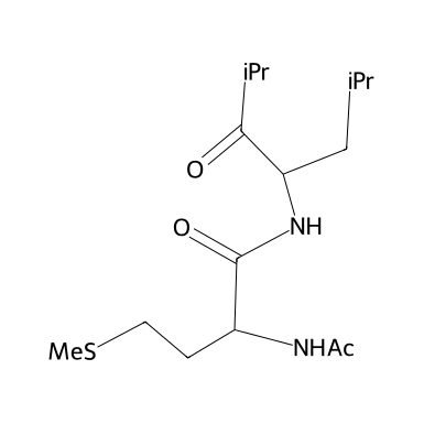 CSCCC(NC(C)=O)C(=O)NC(CC(C)C)C(=O)C(C)C